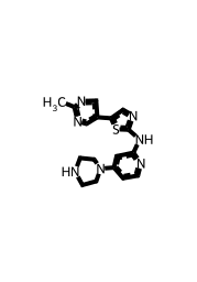 Cc1ncc(-c2cnc(Nc3cc(N4CCNCC4)ccn3)s2)cn1